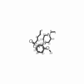 CCCCC(=O)O.CCN1CCN(c2ccccc2OC)CC1